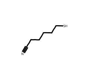 N#CCCCCCS